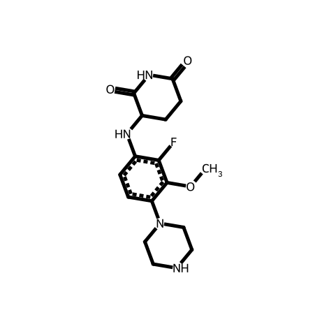 COc1c(N2CCNCC2)ccc(NC2CCC(=O)NC2=O)c1F